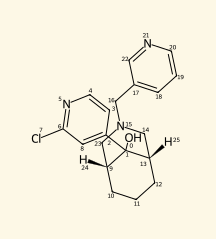 OC1(c2ccnc(Cl)c2)[C@@H]2CCC[C@H]1CN(Cc1cccnc1)C2